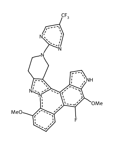 COc1c(F)c2c3cccc(OC)c3n3nc4c(c3c2c2cc[nH]c12)CN(c1ncc(C(F)(F)F)cn1)CC4